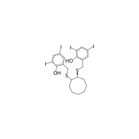 Oc1c(I)cc(I)cc1CSC1CCCCCC[C@@H]1SCc1cc(I)cc(I)c1O